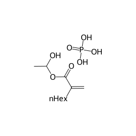 C=C(CCCCCC)C(=O)OC(C)O.O=P(O)(O)O